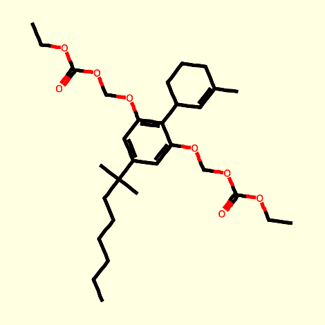 CCCCCCC(C)(C)c1cc(OCOC(=O)OCC)c(C2C=C(C)CCC2)c(OCOC(=O)OCC)c1